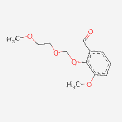 COCCOCOc1c(C=O)cccc1OC